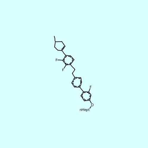 CCCCCCCOc1ccc(-c2ccc(CCc3ccc(C4=CCC(C)CC4)c(F)c3F)cc2)c(F)c1